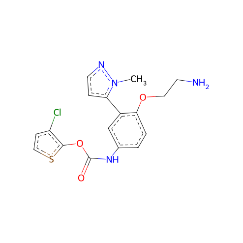 Cn1nccc1-c1cc(NC(=O)Oc2sccc2Cl)ccc1OCCN